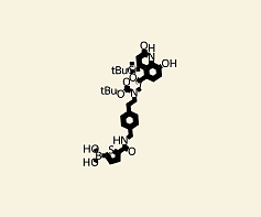 CC(C)(C)OC(=O)N(CCc1ccc(CNC(=O)c2ccc(B(O)O)s2)cc1)C[C@H](O[Si](C)(C)C(C)(C)C)c1ccc(O)c2[nH]c(=O)ccc12